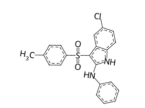 Cc1ccc(S(=O)(=O)c2c(Nc3ccccc3)[nH]c3ccc(Cl)cc23)cc1